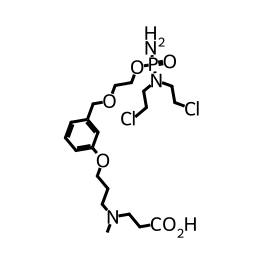 CN(CCCOc1cccc(COCCOP(N)(=O)N(CCCl)CCCl)c1)CCC(=O)O